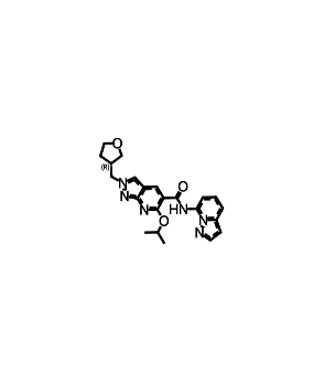 CC(C)Oc1nc2nn(C[C@H]3CCOC3)cc2cc1C(=O)Nc1cccc2ccnn12